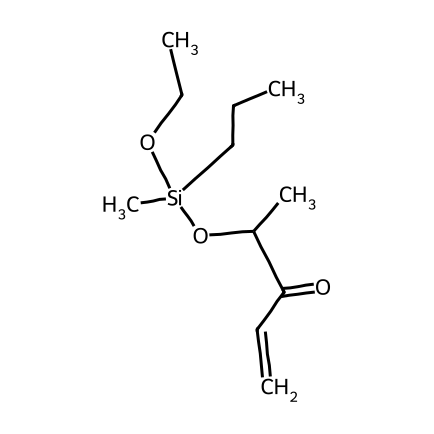 C=CC(=O)C(C)O[Si](C)(CCC)OCC